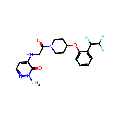 Cn1nccc(NCC(=O)N2CCC(Oc3ccccc3C(F)C(F)F)CC2)c1=O